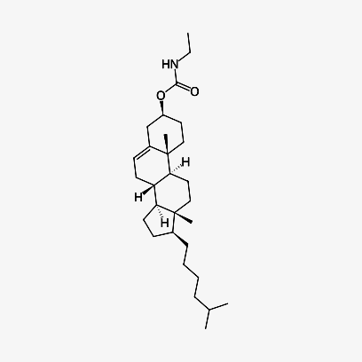 CCNC(=O)O[C@H]1CC[C@@]2(C)C(=CC[C@H]3[C@@H]4CC[C@H](CCCCC(C)C)[C@@]4(C)CC[C@@H]32)C1